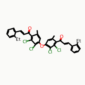 CCc1ccccc1C=CC(=O)c1c(C)cc(Oc2cc(C)c(C(=O)C=Cc3ccccc3CC)c(Cl)c2Cl)c(Cl)c1Cl